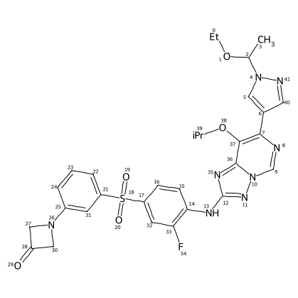 CCOC(C)n1cc(-c2ncn3nc(Nc4ccc(S(=O)(=O)c5cccc(N6CC(=O)C6)c5)cc4F)nc3c2OC(C)C)cn1